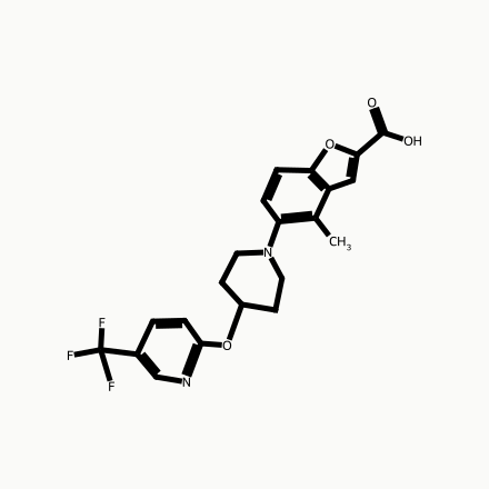 Cc1c(N2CCC(Oc3ccc(C(F)(F)F)cn3)CC2)ccc2oc(C(=O)O)cc12